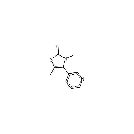 C=C1SC(C)=C(c2cccnc2)N1C